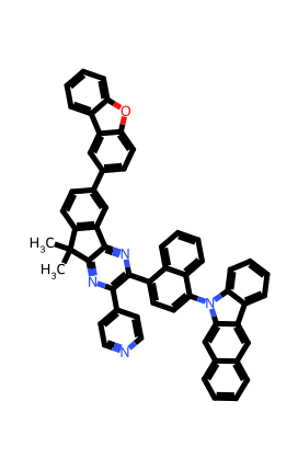 CC1(C)c2ccc(-c3ccc4oc5ccccc5c4c3)cc2-c2nc(-c3ccc(-n4c5ccccc5c5cc6ccccc6cc54)c4ccccc34)c(-c3ccncc3)nc21